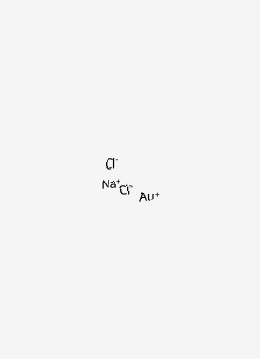 [Au+].[Cl-].[Cl-].[Na+]